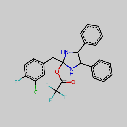 O=C(OC1(Cc2ccc(F)c(Cl)c2)NC(c2ccccc2)C(c2ccccc2)N1)C(F)(F)F